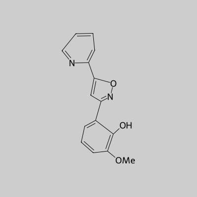 COc1cccc(-c2cc(-c3ccccn3)on2)c1O